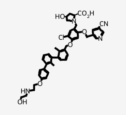 Cc1c(COc2cc(OCc3cncc(C#N)c3)c(CN3C[C@@H](O)C[C@H]3C(=O)O)cc2Cl)cccc1-c1cccc(-c2ccc(OCCNCCO)cc2)c1C